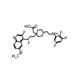 COc1ccc2ncc(F)c([C@@H](F)CCC3(CC(=O)O)CCN(CCNc4cc(F)cc(F)c4F)CC3)c2c1